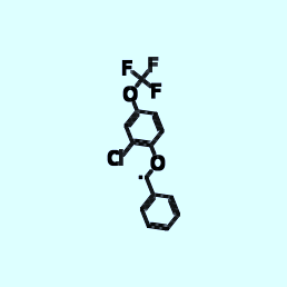 FC(F)(F)Oc1ccc(O[CH]c2ccccc2)c(Cl)c1